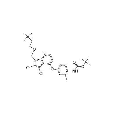 Cc1cc(Oc2ccnc3c2c(Cl)c(Cl)n3COCC[Si](C)(C)C)ccc1NC(=O)OC(C)(C)C